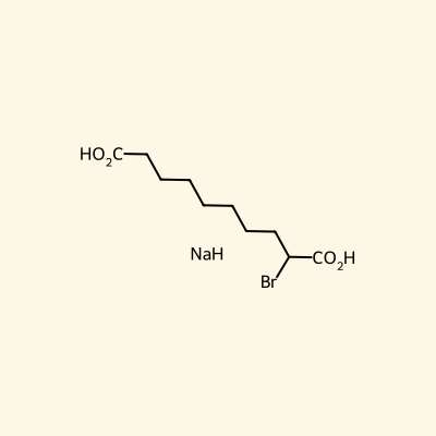 O=C(O)CCCCCCCC(Br)C(=O)O.[NaH]